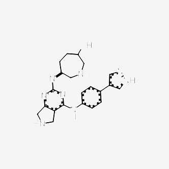 CC1CC/C(=N/c2nc3c(c(Nc4ccc(-c5cn[nH]c5)cc4)n2)CNC3)CNC1